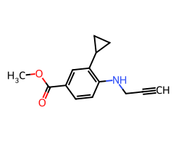 C#CCNc1ccc(C(=O)OC)cc1C1CC1